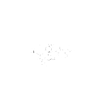 CC1OC(CO)[C@@H](O[C@@H]2OC(CO)[C@@H](O[C@@H]3OC(CO)[C@@H](O[C@@H]4OC(CO)C(C)C(O)C4OCC(=O)O)C(O)C3O)C(O)C2OCC(=O)O)C(O)C1O